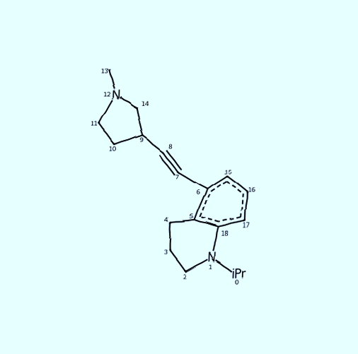 CC(C)N1CCCc2c(C#CC3CCN(C)C3)cccc21